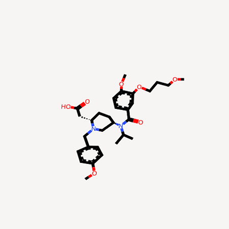 COCCCOc1cc(C(=O)N(C(C)C)[C@@H]2CC[C@@H](CC(=O)O)N(Cc3ccc(OC)cc3)C2)ccc1OC